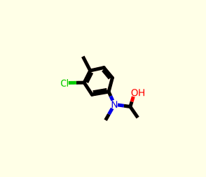 Cc1ccc(N(C)C(C)O)cc1Cl